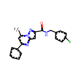 O=C(NCc1ccc(F)cc1)c1cc2nc(-c3ccccc3)cc(C(F)(F)F)n2n1